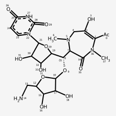 CC(=O)C1=C(O)CN(C)C([C@H](OC2OC(CN)C(O)C2O)C2OC(n3ccc(=O)[nH]c3=O)C(O)C2O)C(=O)N1C